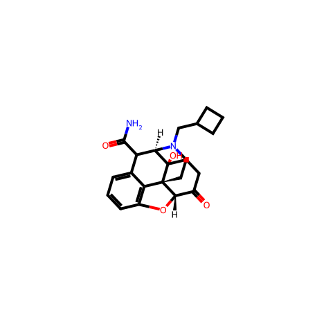 NC(=O)C1c2cccc3c2[C@]24CCN(CC5CCC5)[C@H]1[C@]2(O)CCC(=O)[C@@H]4O3